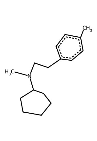 Cc1ccc(CCN(C)C2CCCCC2)cc1